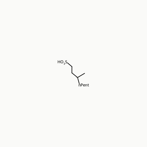 CCCCC[C](C)CCS(=O)(=O)O